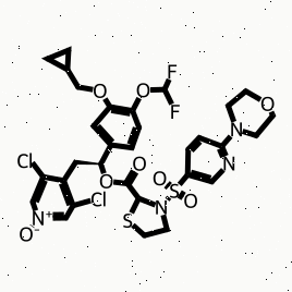 O=C(O[C@@H](Cc1c(Cl)c[n+]([O-])cc1Cl)c1ccc(OC(F)F)c(OCC2CC2)c1)C1SCCN1S(=O)(=O)c1ccc(N2CCOCC2)nc1